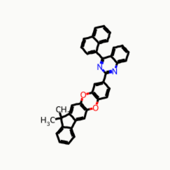 CC1(C)c2ccccc2-c2cc3c(cc21)Oc1cc(-c2nc(-c4cccc5ccccc45)c4ccccc4n2)ccc1O3